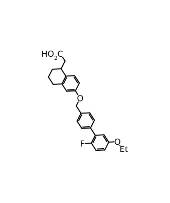 CCOc1ccc(F)c(-c2ccc(COc3ccc4c(c3)CCCC4CC(=O)O)cc2)c1